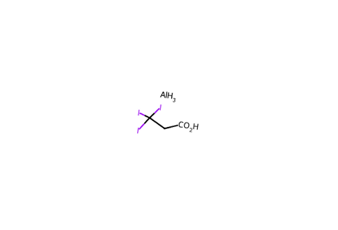 O=C(O)CC(I)(I)I.[AlH3]